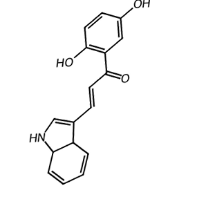 O=C(/C=C/C1=CNC2C=CC=CC12)c1cc(O)ccc1O